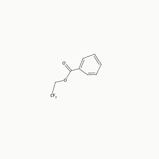 O=C(OCC(F)(F)F)c1ccccc1